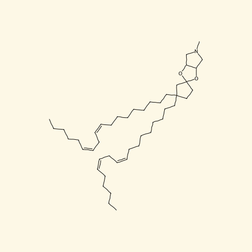 CCCCC/C=C\C/C=C\CCCCCCCCC1(CCCCCCCC/C=C\C/C=C\CCCCC)CCC2(C1)OC1CN(C)CC1O2